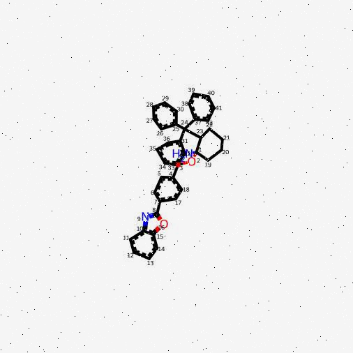 NC1(OCc2ccc(-c3nc4ccccc4o3)cc2)CCCCC1C(c1ccccc1)(c1ccccc1)c1ccccc1